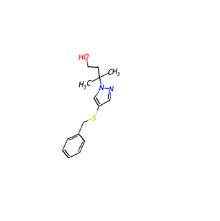 CC(C)(CCO)n1cc(SCc2ccccc2)cn1